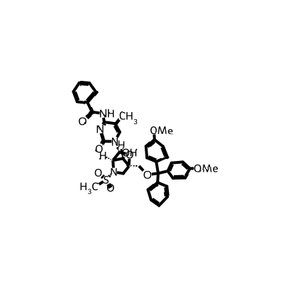 COc1ccc(C(OC[C@@]23CN(S(C)(=O)=O)[C@@H]([C@H](n4cc(C)c(NC(=O)c5ccccc5)nc4=O)O2)[C@@H]3O)(c2ccccc2)c2ccc(OC)cc2)cc1